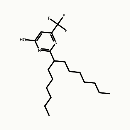 CCCCCCCC(CCCCCC)c1nc(O)cc(C(F)(F)F)n1